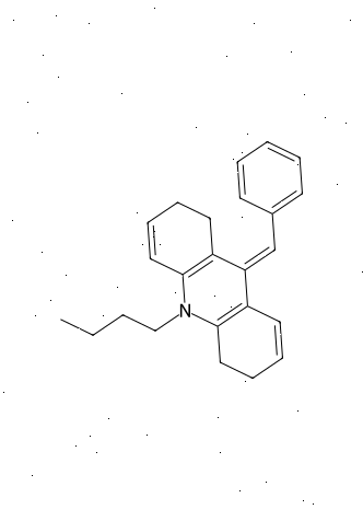 CCCCN1C2=C(CCC=C2)/C(=C\c2ccccc2)C2=C1CCC=C2